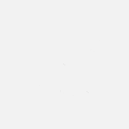 CC1(C)c2ccccc2-c2ccc(N(c3ccc4c(c3)C(C)(C)c3ccccc3-4)c3ccc4c(c3)C3(C)C=CC=CC3N4c3ccccc3)cc21